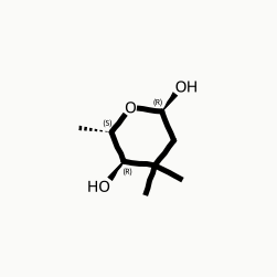 C[C@@H]1O[C@@H](O)CC(C)(C)[C@H]1O